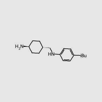 CCC(C)c1ccc(NC[C@H]2CC[C@H](N)CC2)cc1